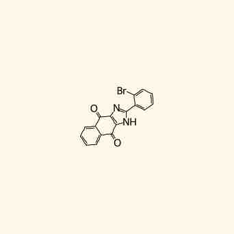 O=C1c2ccccc2C(=O)c2[nH]c(-c3ccccc3Br)nc21